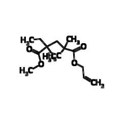 C=CCOC(=O)C(C)(C)CC(C)(CC)C(=O)OC